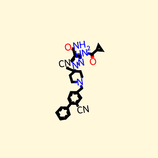 N#CCC1(n2cc(C(N)=O)c(NC(=O)C3CC3)n2)CCN(Cc2ccc(-c3ccccc3)c(C#N)c2)CC1